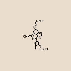 COCCOc1cc(OCCCl)c2c(Nc3cc(CC(=O)O)[nH]n3)ncnc2c1